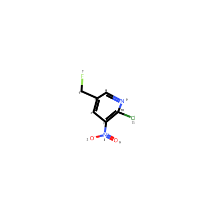 O=[N+]([O-])c1cc(CF)cnc1Cl